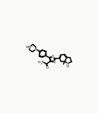 CC12CC(c3nc(C(N)=O)c(-c4ccc(N5CCNCC5)cc4)o3)=CC=C1CCN2